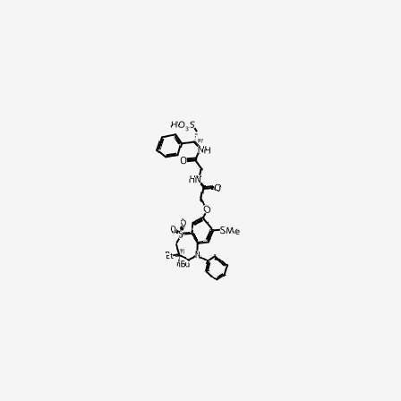 CCCC[C@]1(CC)CN(c2ccccc2)c2cc(SC)c(OCC(=O)NCC(=O)N[C@@H](CS(=O)(=O)O)c3ccccc3)cc2S(=O)(=O)C1